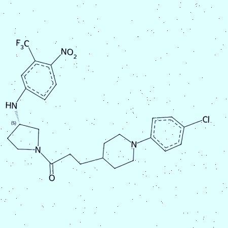 O=C(CCC1CCN(c2ccc(Cl)cc2)CC1)N1CC[C@H](Nc2ccc([N+](=O)[O-])c(C(F)(F)F)c2)C1